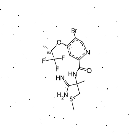 CSCC(C)(NC(=O)c1cc(O[C@@H](C)C(F)(F)F)c(Br)cn1)C(=N)N